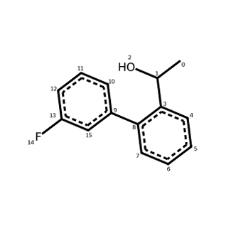 CC(O)c1ccccc1-c1cccc(F)c1